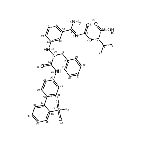 CC(C)C(OC(=O)N=C(N)c1cccc(NN(Cc2ccccc2)C(=O)Nc2ccc(-c3ccccc3S(C)(=O)=O)cc2)c1)C(=O)O